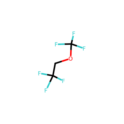 FC(F)(F)COC(F)(F)F